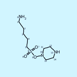 NCCCCCS(=O)(=O)ON1CCNCC1